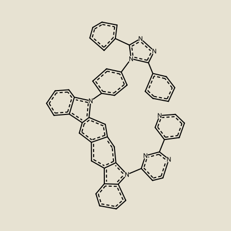 c1ccc(-c2nnc(-c3ccccc3)n2-c2ccc(-n3c4ccccc4c4cc5cc6c7ccccc7n(-c7ccnc(-c8cccnc8)n7)c6cc5cc43)cc2)cc1